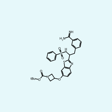 CC(C)(C)OC(=O)N1CC(Oc2ccc3nc(C(Cc4cccc(C(=N)N)c4)NS(=O)(=O)c4ccccc4)sc3c2)C1